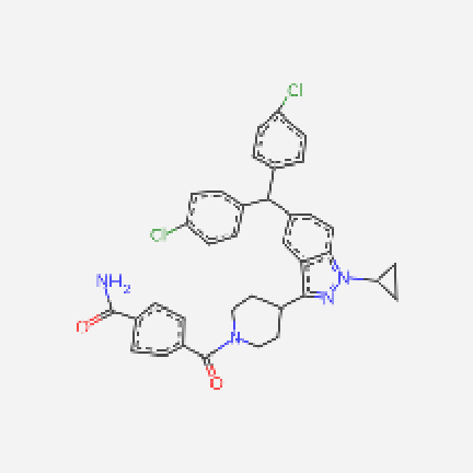 NC(=O)c1ccc(C(=O)N2CCC(c3nn(C4CC4)c4ccc(C(c5ccc(Cl)cc5)c5ccc(Cl)cc5)cc34)CC2)cc1